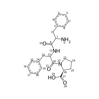 NC(Cc1ccccc1)C(=O)NC(Cc1ccccc1)C(=O)N1CCC[C@H]1C(=O)O